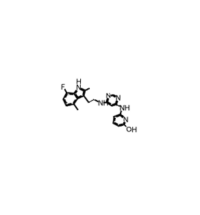 Cc1[nH]c2c(F)ccc(C)c2c1CCNc1cc(Nc2cccc(O)n2)ncn1